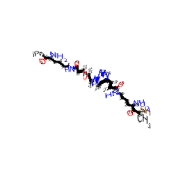 CC(C)C(=O)C(N)CCCCNC(=O)CCOCCn1cc(CCC(=O)NCCCCC(N)C(=O)C(C)S)nn1